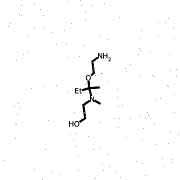 CCC(C)(OCCN)N(C)CCO